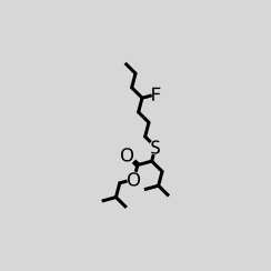 CCCC(F)CCCSC(CC(C)C)C(=O)OCC(C)C